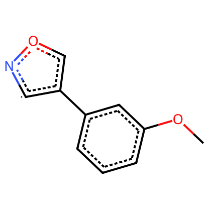 COc1cccc(-c2[c]noc2)c1